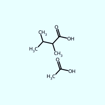 CC(=O)O.CC(C)C(C)C(=O)O